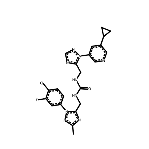 Cc1nc(CNC(=O)NCc2ncnn2-c2cncc(C3CC3)c2)n(-c2ccc(Cl)c(F)c2)n1